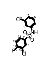 O=S(=O)(Nc1cccc(Cl)c1)c1ccc(F)c(Cl)c1